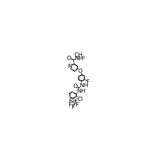 CNC(=O)c1cc(Oc2ccc(NC(=O)Nc3cccc(S(F)(F)(F)(F)F)c3Cl)c(F)c2)ccn1